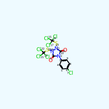 O=c1n(-c2ccc(Cl)cc2)c(=O)n(SC(Cl)(Cl)Cl)n1SC(Cl)(Cl)Cl